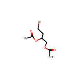 CCCC(=O)OCC(CCBr)OC(=O)CCC